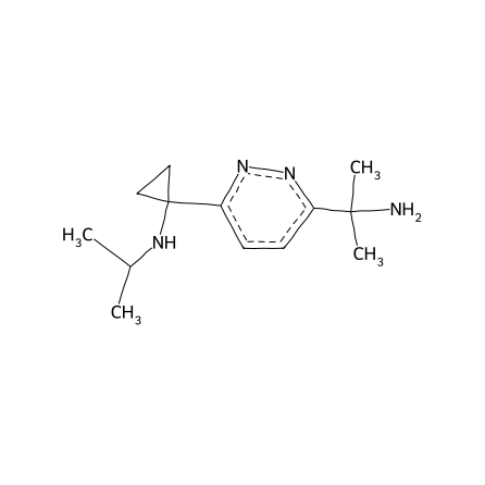 CC(C)NC1(c2ccc(C(C)(C)N)nn2)CC1